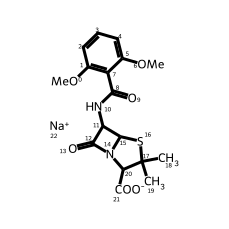 COc1cccc(OC)c1C(=O)NC1C(=O)N2C1SC(C)(C)C2C(=O)[O-].[Na+]